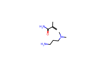 C=C(C)C(N)=O.CN(C)CCCN